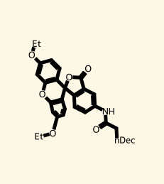 CCCCCCCCCCCC(=O)Nc1ccc2c(c1)C(=O)OC21c2ccc(OCC)cc2Oc2cc(OCC)ccc21